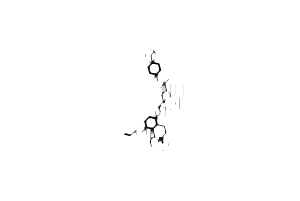 C=CCOc1ccc(OCC(O)CNC(C)Oc2ccc(OC)cc2)c2c1N(CC)C(=O)CC2